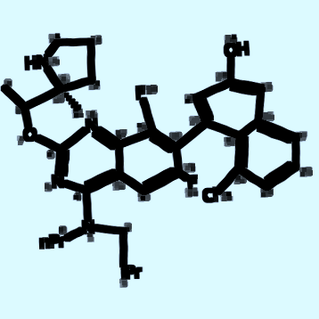 CCCN(CC(C)C)c1nc(OC(C)[C@]2(C)CCCN2)nc2c(F)c(-c3cc(O)cc4cccc(Cl)c34)c(F)cc12